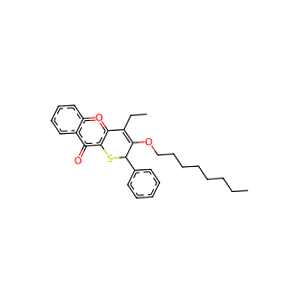 CCCCCCCCOC1=C(CC)c2oc3ccccc3c(=O)c2SC1c1ccccc1